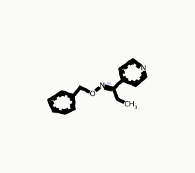 CC/C(=N\OCc1ccccc1)c1ccncc1